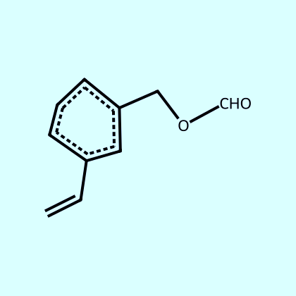 C=Cc1cccc(COC=O)c1